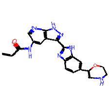 C=CC(=O)Nc1cnc2[nH]nc(-c3nc4ccc(C5CNCCO5)cc4[nH]3)c2c1